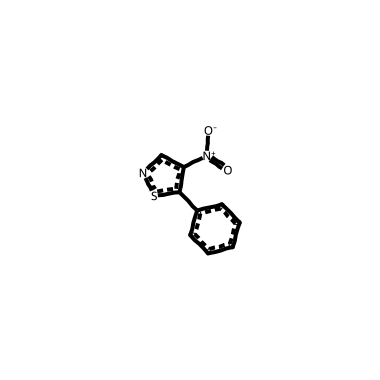 O=[N+]([O-])c1cnsc1-c1ccccc1